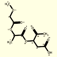 COCC(=O)OC(C)C(=O)OC(CC(=O)O)C(C)=O